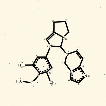 COc1c(C)cc(N2C=C3CCCN3C2N2C=Cc3nccn3C2)cc1C